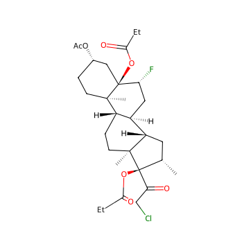 CCC(=O)O[C@]12C[C@@H](OC(C)=O)CC[C@]1(C)[C@H]1CC[C@@]3(C)[C@@H](C[C@H](C)[C@]3(OC(=O)CC)C(=O)CCl)[C@@H]1C[C@H]2F